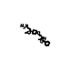 CCOC(CCN)c1ccc(OCCc2nc(-c3ccccc3)oc2C)cc1